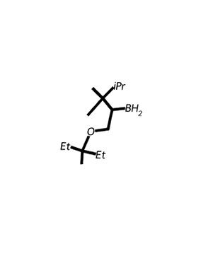 BC(COC(C)(CC)CC)C(C)(C)C(C)C